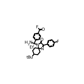 CC[C@](N)(c1ccc(C(=O)F)cc1)N1C(=O)C(c2ccc(F)cc2)=NC12CCC(C(C)(C)C)CC2